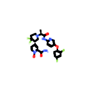 C[C@@H](C(=O)Nc1ccc(Oc2ccc(F)cc2F)cn1)N1CCC(F)(F)[C@@H](c2cc[n+]([O-])c(C(N)=O)c2)C1